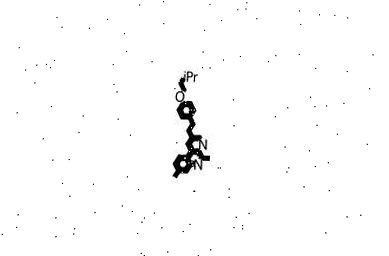 Cc1ccc2c(c1)nc(C)c1ncc(CCc3ccc(OCCC(C)C)cc3)cc12